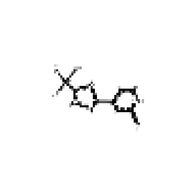 O=c1cc(-c2nnc(C(F)(F)F)o2)cc[nH]1